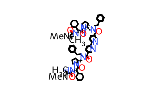 CN[C@@H](C)C(=O)N[C@H](C(=O)N1CCC[C@H]1CN(CCc1ccccc1)C(=O)c1ccc(-c2ccc(C(=O)N(CCc3ccccc3)C[C@@H]3CCCN3C(=O)[C@@H](NC(=O)[C@H](C)NC)C3CCCCC3)cn2)nc1)C1CCCCC1